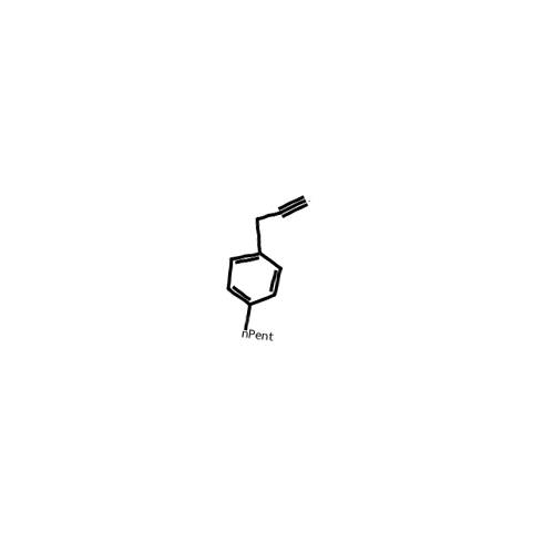 [C]#CCc1ccc(CCCCC)cc1